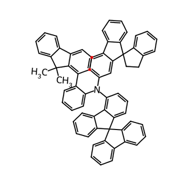 CC1(C)c2ccccc2-c2cccc(-c3ccccc3N(c3ccc4c(c3)C3(CCc5ccccc53)c3ccccc3-4)c3cccc4c3-c3ccccc3C43c4ccccc4-c4ccccc43)c21